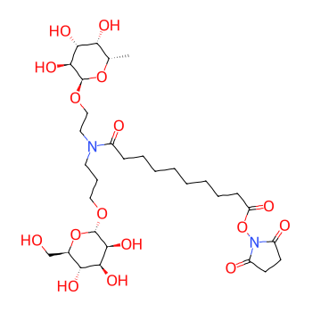 C[C@@H]1O[C@@H](OCCN(CCCO[C@H]2O[C@H](CO)[C@@H](O)[C@H](O)[C@@H]2O)C(=O)CCCCCCCCC(=O)ON2C(=O)CCC2=O)[C@@H](O)[C@H](O)[C@@H]1O